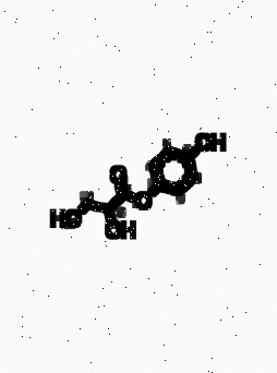 O=C(Oc1ccc(O)cc1)C(O)CO